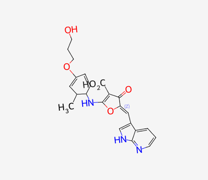 CC1C=C(OCCCO)C=CC1NC1=C(C(=O)O)C(=O)/C(=C/c2c[nH]c3ncccc23)O1